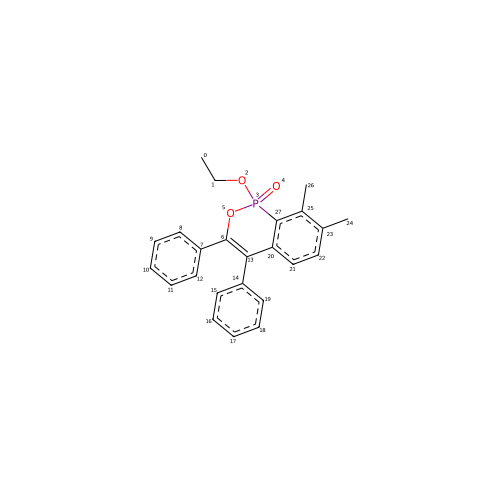 CCOP1(=O)OC(c2ccccc2)=C(c2ccccc2)c2ccc(C)c(C)c21